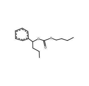 CCCCOC(=O)OC(CCC)c1ccccc1